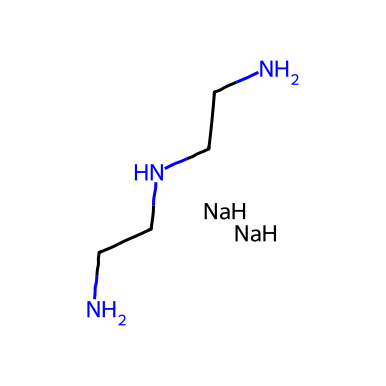 NCCNCCN.[NaH].[NaH]